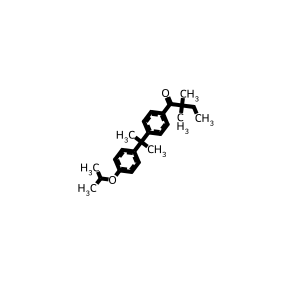 CCC(C)(C)C(=O)c1ccc(C(C)(C)c2ccc(OC(C)C)cc2)cc1